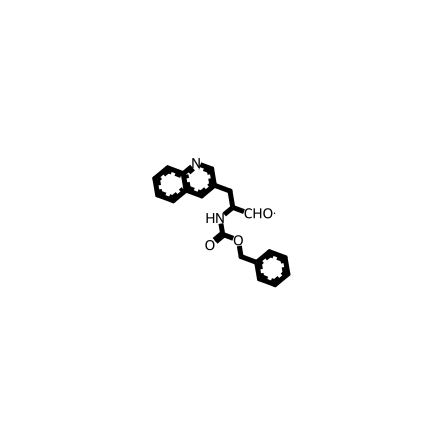 O=[C]C(Cc1cnc2ccccc2c1)NC(=O)OCc1ccccc1